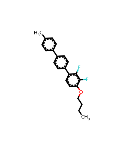 CCCCOc1ccc(-c2ccc(-c3ccc(C)cc3)cc2)c(F)c1F